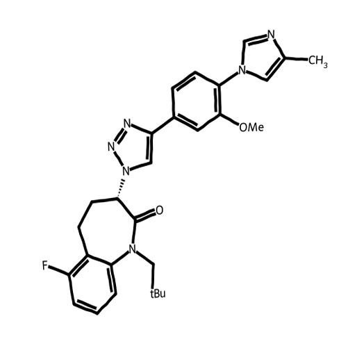 COc1cc(-c2cn([C@H]3CCc4c(F)cccc4N(CC(C)(C)C)C3=O)nn2)ccc1-n1cnc(C)c1